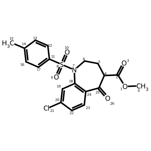 COC(=O)C1CCN(S(=O)(=O)c2ccc(C)cc2)c2cc(Cl)ccc2C1=O